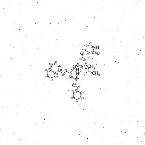 CC(C)C[C@H](NC(=O)[C@H](CCc1cccc2ccccc12)NC(=O)OCc1ccccc1)C(=O)N[C@H](C=O)C[C@@H]1CCCNC1=O